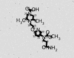 COC(=O)N(CCC(N)=O)c1ccc(OCCN2C(C)CN(C(=O)O)C[C@H]2C)nc1